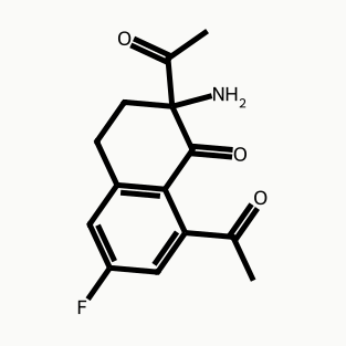 CC(=O)c1cc(F)cc2c1C(=O)C(N)(C(C)=O)CC2